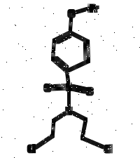 CC(C)Oc1ccc(S(=O)(=O)N(CCCl)CCCl)cc1